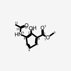 COC(=O)c1c[c]cc(NC(C)=O)c1O